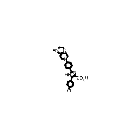 CN1CCOC2(CCN(c3ccc(-c4nc(C(=O)O)c(-c5ccc(Cl)cc5)[nH]4)cc3)CC2)C1